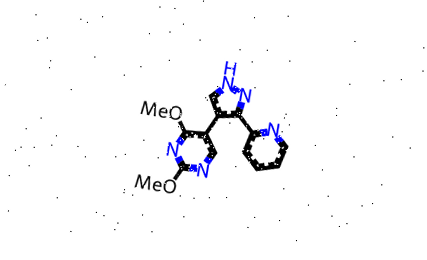 COc1ncc(-c2c[nH]nc2-c2ccccn2)c(OC)n1